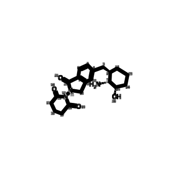 N[C@@H]1[C@@H](Cc2ccc3c(c2)CN(N2C(=O)CCCC2=O)C3=O)CCC[C@@H]1O